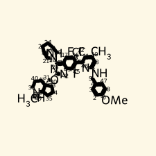 COc1ccc(CNc2cc(C)c(C(F)(F)F)c(-c3c(Cl)cc4c(N5CC6CCC(C5)N6)nc(OC[C@]56CCC[C@H]5N(C)CCC6)nc4c3F)n2)cc1